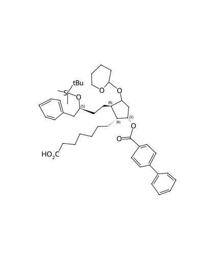 CC(C)(C)[Si](C)(C)O[C@@H](CC[C@H]1C(OC2CCCCO2)C[C@H](OC(=O)c2ccc(-c3ccccc3)cc2)[C@@H]1CCCCCCC(=O)O)Cc1ccccc1